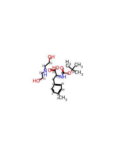 Cc1ccc(CC(NC(=O)OC(C)(C)C)C(=O)O)cc1.OCCNCCO